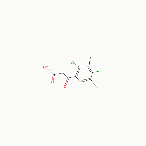 Cc1c(Cl)c(F)cc(C(=O)CC(=O)O)c1Cl